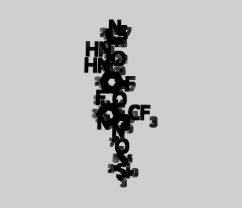 C[Si](C)(C)CCOCn1cc(C(F)(F)F)c2c(Oc3c(F)cc(NC(=O)Nc4cnsc4)cc3F)ccnc21